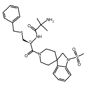 CC(C)(N)C(=O)N[C@H](CSCc1ccccc1)C(=O)N1CCC2(CC1)CN(S(C)(=O)=O)c1ccccc12